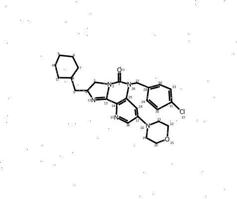 O=C1N2CC(CC3CCCCC3)N=C2c2ncc(N3CCOCC3)cc2N1Cc1ccc(Cl)cc1